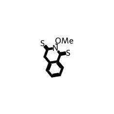 CON1C(=S)Cc2ccccc2C1=S